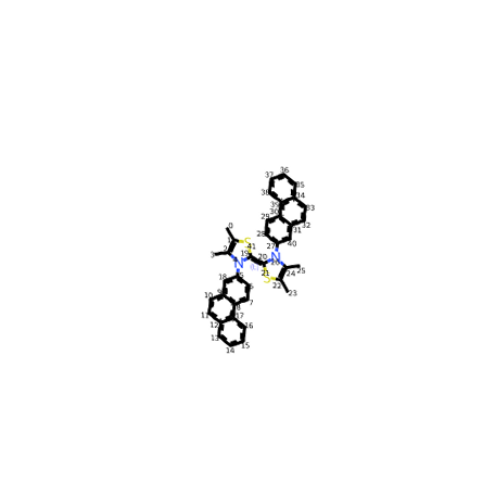 CC1=C(C)N(c2ccc3c(ccc4ccccc43)c2)/C(=C2\SC(C)=C(C)N2c2ccc3c(ccc4ccccc43)c2)S1